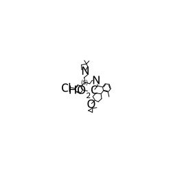 Cc1ccc(Cl)cc1[C@@H](CCN1CCC(C)(C)C1)CCN(C)C(C(=O)O)c1cccc(C)c1C1CCC(OC2(C)CC2)CC1